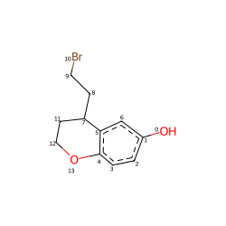 Oc1ccc2c(c1)C(CCBr)CCO2